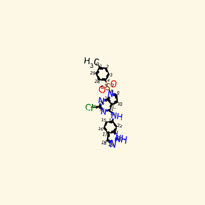 Cc1ccc(S(=O)(=O)n2ccc3c(Nc4ccc5cn[nH]c5c4)nc(Cl)nc32)cc1